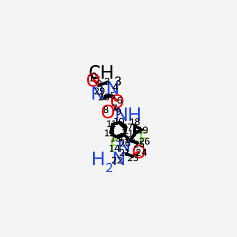 COc1cnc(OC(=O)Nc2ccc(F)c(C3(C4CC4)N=C(N)COC3F)c2)cn1